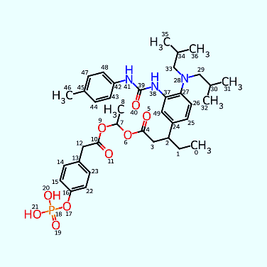 CCC(CC(=O)OC(C)OC(=O)Cc1ccc(OP(=O)(O)O)cc1)c1ccc(N(CC(C)C)CC(C)C)c(NC(=O)Nc2ccc(C)cc2)c1